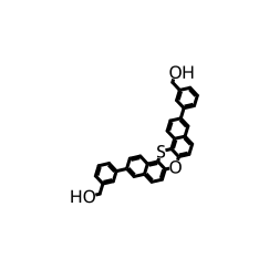 OCc1cccc(-c2ccc3c4c(ccc3c2)Oc2ccc3cc(-c5cccc(CO)c5)ccc3c2S4)c1